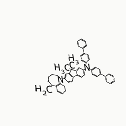 C=C1CCCCN(c2ccc3c(c2)C(C)(C)c2cc(N(c4ccc(-c5ccccc5)cc4)c4ccc(-c5ccccc5)cc4)ccc2-3)C2=C1C=CCC2